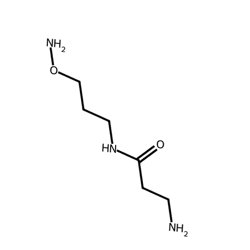 NCCC(=O)NCCCON